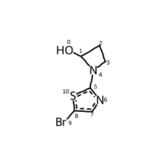 OC1CCN1c1ncc(Br)s1